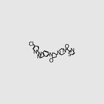 O=C(c1nccs1)N1CCN(C2CC(=O)N(c3ccc4c(cnn4-c4ccc(Cl)cn4)c3)C2)CC1